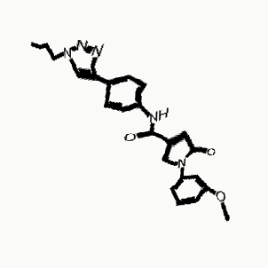 CCCn1cc(-c2ccc(NC(=O)C3CC(=O)N(c4cccc(OC)c4)C3)cc2)nn1